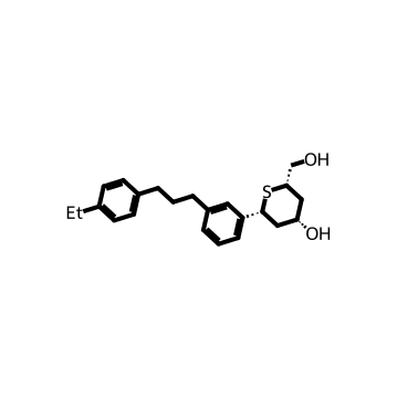 CCc1ccc(CCCc2cccc([C@H]3C[C@@H](O)C[C@@H](CO)S3)c2)cc1